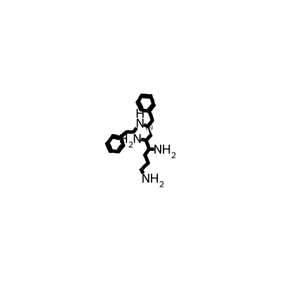 NCCCC(N)C(N)C[C@H](Cc1ccccc1)NCCc1ccccc1